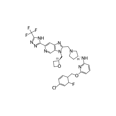 FC1C=C(Cl)C=CC1COc1cccc(N[C@@H]2CCN(Cc3nc4cc(-c5nnc(C(F)(F)F)[nH]5)ncc4n3C[C@@H]3CCO3)C2)n1